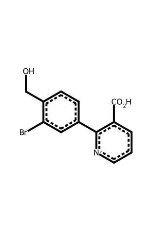 O=C(O)c1cccnc1-c1ccc(CO)c(Br)c1